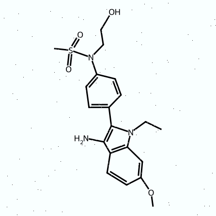 CCn1c(-c2ccc(N(CCO)S(C)(=O)=O)cc2)c(N)c2ccc(OC)cc21